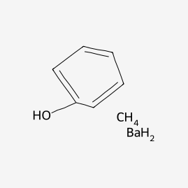 C.Oc1ccccc1.[BaH2]